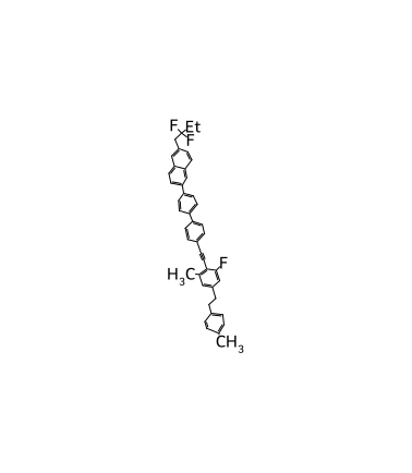 CCC(F)(F)Cc1ccc2cc(-c3ccc(-c4ccc(C#Cc5c(C)cc(CCc6ccc(C)cc6)cc5F)cc4)cc3)ccc2c1